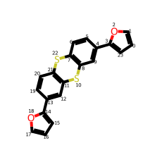 c1coc(-c2ccc3c(c2)Sc2cc(-c4ccco4)ccc2S3)c1